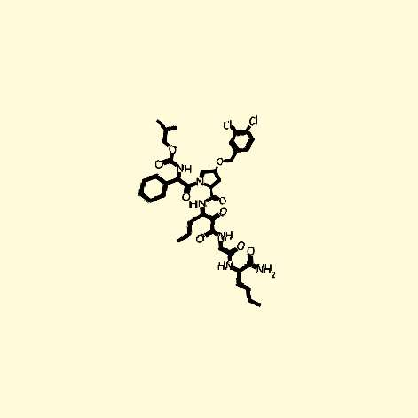 CCCCC(NC(=O)CNC(=O)C(=O)C(CCC)NC(=O)[C@@H]1C[C@@H](OCc2ccc(Cl)c(Cl)c2)CN1C(=O)C(NC(=O)OCC(C)C)C1CCCCC1)C(N)=O